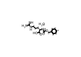 N=C(N)NCCC[C@@H](NC(=O)OCc1ccccc1)C(=O)O.O